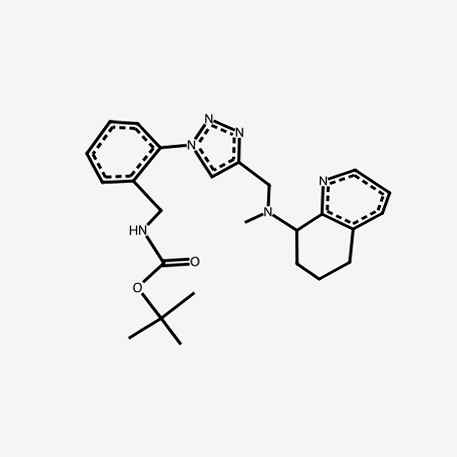 CN(Cc1cn(-c2ccccc2CNC(=O)OC(C)(C)C)nn1)C1CCCc2cccnc21